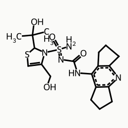 CC(C)(O)C1SC=C(CO)N1S(N)(=O)=NC(=O)Nc1c2c(nc3c1CCC3)CCC2